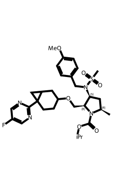 COc1ccc(CN([C@H]2C[C@@H](C)N(C(=O)OC(C)C)[C@H]2COC2CCC3(c4ncc(F)cn4)CC3C2)S(C)(=O)=O)cc1